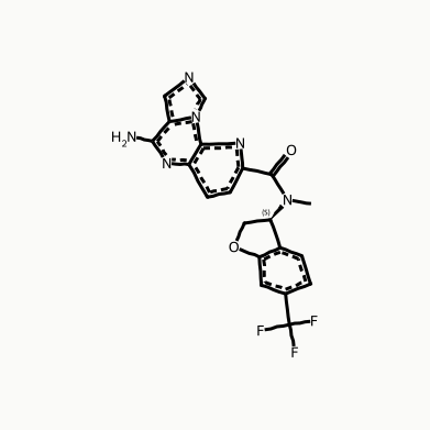 CN(C(=O)c1ccc2nc(N)c3cncn3c2n1)[C@@H]1COc2cc(C(F)(F)F)ccc21